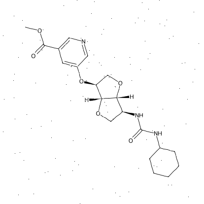 COC(=O)c1cncc(O[C@H]2CO[C@H]3[C@@H]2OC[C@@H]3NC(=O)NC2CCCCC2)c1